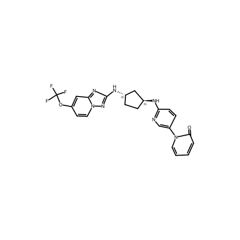 O=c1ccccn1-c1ccc(N[C@H]2CC[C@H](Nc3nc4cc(OC(F)(F)F)ccn4n3)C2)nc1